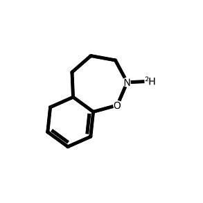 [2H]N1CCCC2CC=CC=C2O1